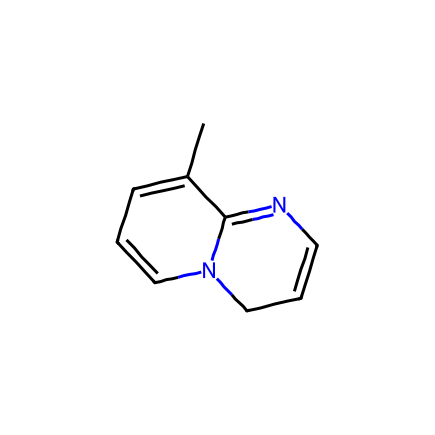 CC1=CC=CN2CC=CN=C12